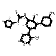 N#Cc1c(-c2cccc(N)c2)cc(-c2ccccc2O)nc1NC(=O)Oc1cccs1